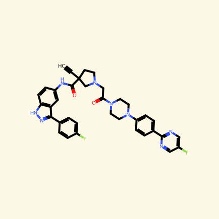 C#CC1(C(=O)Nc2ccc3[nH]nc(-c4ccc(F)cc4)c3c2)CCN(CC(=O)N2CCN(c3ccc(-c4ncc(F)cn4)cc3)CC2)C1